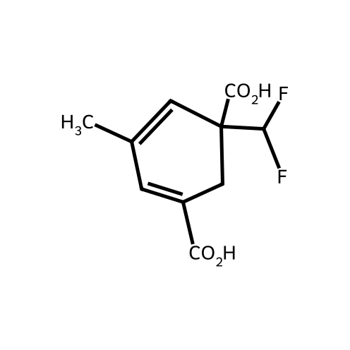 CC1=CC(C(=O)O)(C(F)F)CC(C(=O)O)=C1